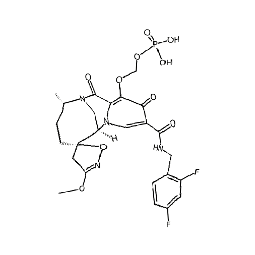 COC1=NO[C@@]2(CC[C@H](C)N3C[C@H]2n2cc(C(=O)NCc4ccc(F)cc4F)c(=O)c(OCOP(=O)(O)O)c2C3=O)C1